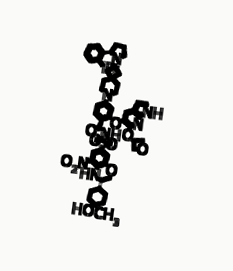 CC(C)c1ccccc1[C@H]1CCCN1C1CC2(CCN(c3ccc(C(=O)NS(=O)(=O)c4cc5c(c([N+](=O)[O-])c4)N[C@@H](C4CCC(C)(O)CC4)CO5)c(Oc4cc5cc[nH]c5nc4OC4COC4)c3)CC2)C1